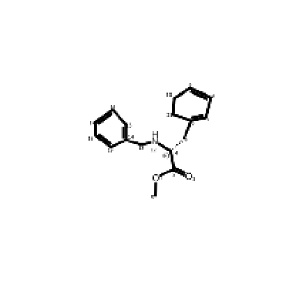 COC(=O)[C@@H](CC1=CC=CCC1)NCc1ccccc1